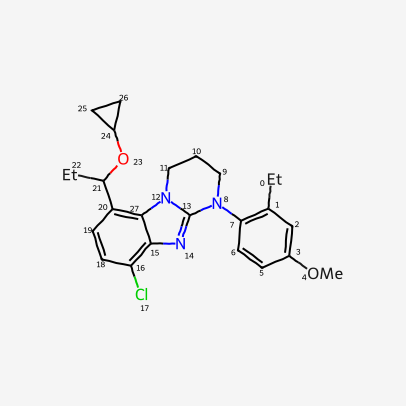 CCc1cc(OC)ccc1N1CCCn2c1nc1c(Cl)ccc(C(CC)OC3CC3)c12